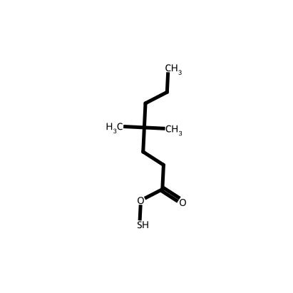 CCCC(C)(C)CCC(=O)OS